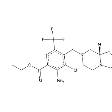 CCOC(=O)c1cc(C(F)(F)F)c(CN2CCN3CCC[C@H]3C2)c(Cl)c1N